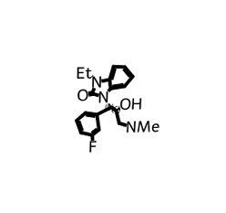 CCn1c(=O)n([C@@H](c2cccc(F)c2)[C@@H](O)CNC)c2ccccc21